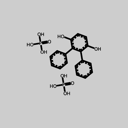 O=P(O)(O)O.O=P(O)(O)O.Oc1ccc(O)c(-c2ccccc2)c1-c1ccccc1